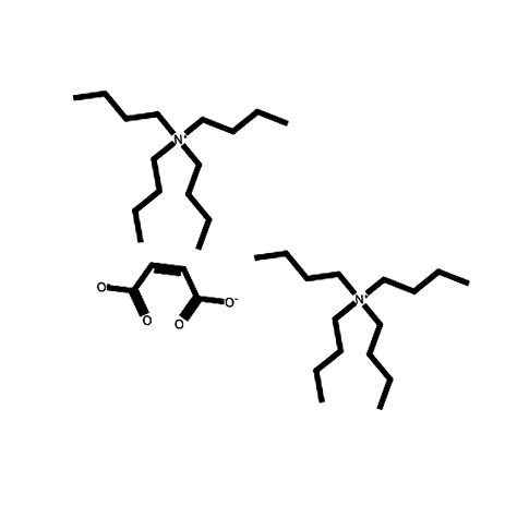 CCCC[N+](CCCC)(CCCC)CCCC.CCCC[N+](CCCC)(CCCC)CCCC.O=C([O-])/C=C\C(=O)[O-]